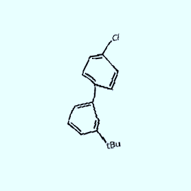 CC(C)(C)c1cccc(-c2ccc(Cl)cc2)c1